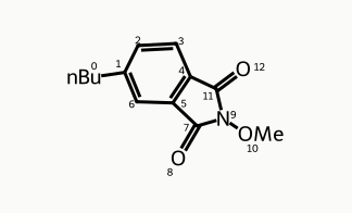 CCCCc1ccc2c(c1)C(=O)N(OC)C2=O